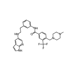 CN1CCN(Cc2ccc(C(=O)Nc3cccc(CCNc4cnc5[nH]ccc5c4)c3)cc2C(F)(F)F)CC1